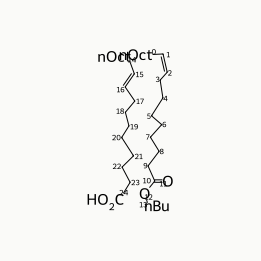 CCCCCCCC/C=C\CCCCCCCC(=O)OCCCC.CCCCCCCCC=CCCCCCCCC(=O)O